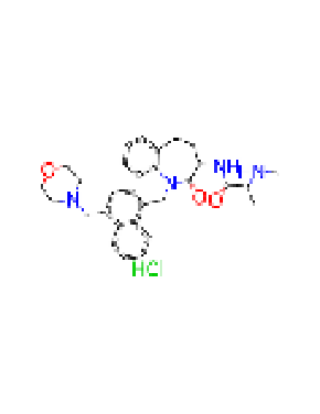 CNC(C)C(=O)NC1CCc2ccccc2N(Cc2ccc(CN3CCOCC3)c3ccccc23)C1=O.Cl